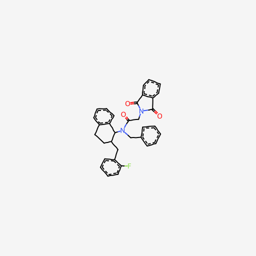 O=C1c2ccccc2C(=O)N1CC(=O)N(Cc1ccccc1)C1c2ccccc2CCC1Cc1ccccc1F